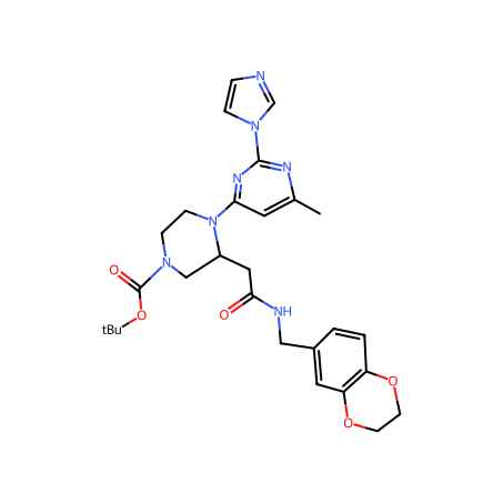 Cc1cc(N2CCN(C(=O)OC(C)(C)C)CC2CC(=O)NCc2ccc3c(c2)OCCO3)nc(-n2ccnc2)n1